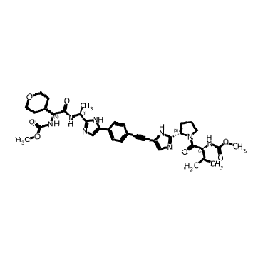 COC(=O)N[C@H](C(=O)N1CCC[C@H]1c1ncc(C#Cc2ccc(-c3cnc([C@H](C)NC(=O)[C@@H](NC(=O)OC)C4CCOCC4)[nH]3)cc2)[nH]1)C(C)C